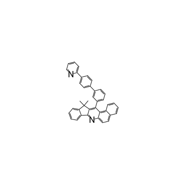 CC1(C)c2ccccc2-c2nc3ccc4ccccc4c3c(-c3cccc(-c4ccc(-c5ccccn5)cc4)c3)c21